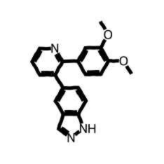 COc1ccc(-c2ncccc2-c2ccc3[nH]ncc3c2)cc1OC